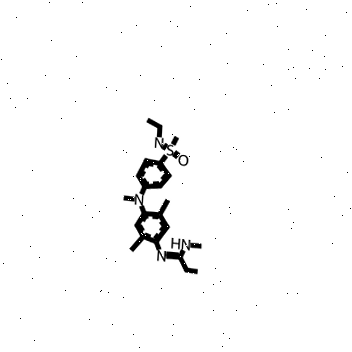 CCN=S(C)(=O)c1ccc(N(C)c2cc(C)c(N=C(CC)NC)cc2C)cc1